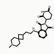 CN1CCC2(CC1)CC(CCNc1cccc3c1C(=O)N(C1CCC(=O)NC1=O)C3=O)C2